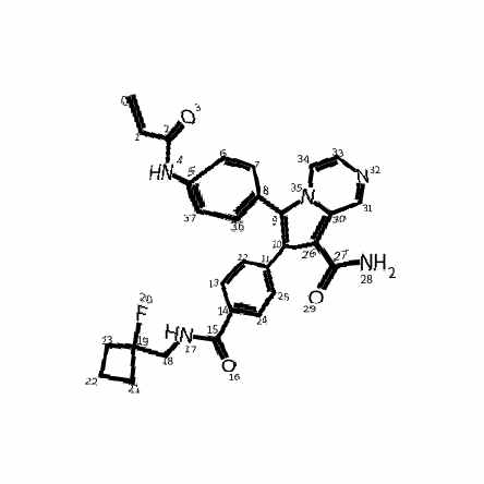 C=CC(=O)Nc1ccc(-c2c(-c3ccc(C(=O)NCC4(F)CCC4)cc3)c(C(N)=O)c3cnccn23)cc1